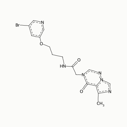 Cc1ncn2ncn(CC(=O)NCCCOc3cncc(Br)c3)c(=O)c12